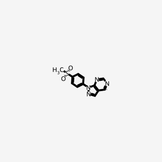 CS(=O)(=O)c1ccc(-n2ncc3[c]ncnc32)cc1